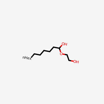 CCCCCCCCCCCC(O)OCCO